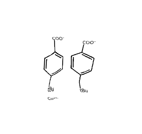 CC(C)(C)c1ccc(C(=O)[O-])cc1.CC(C)(C)c1ccc(C(=O)[O-])cc1.[Cu+2]